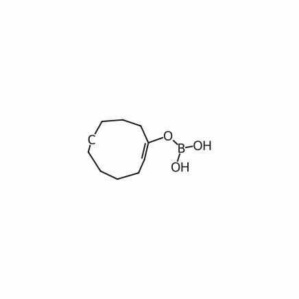 OB(O)OC1=CCCCCCCCC1